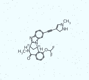 CN1C=C(C#Cc2ccc3nc4n(c3c2)[C@@H]2C[C@H]4N(C)C(=O)c3cccc(OC(F)F)c32)CN1